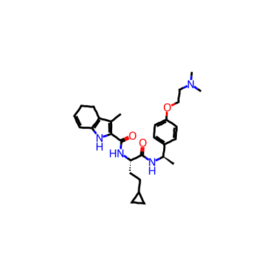 Cc1c(C(=O)N[C@@H](CCC2CC2)C(=O)N[C@H](C)c2ccc(OCCN(C)C)cc2)[nH]c2c1CCC=C2